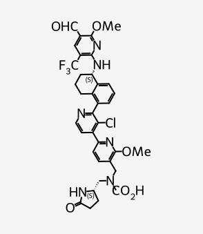 COc1nc(N[C@H]2CCCc3c(-c4nccc(-c5ccc(CN(C[C@@H]6CCC(=O)N6)C(=O)O)c(OC)n5)c4Cl)cccc32)c(C(F)(F)F)cc1C=O